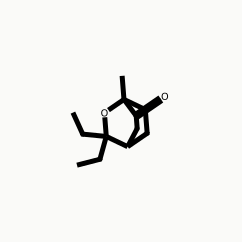 CCC1(CC)OC2(C)CCC1CC2=O